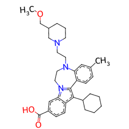 COCC1CCCN(CCN2CCn3c(c(C4CCCCC4)c4ccc(C(=O)O)cc43)-c3ccc(C)cc32)C1